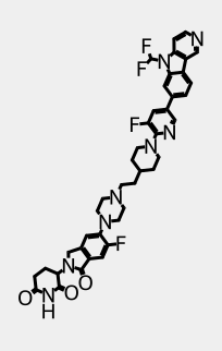 O=C1CCC(N2Cc3cc(N4CCN(CCC5CCN(c6ncc(-c7ccc8c9cnccc9n(C(F)F)c8c7)cc6F)CC5)CC4)c(F)cc3C2=O)C(=O)N1